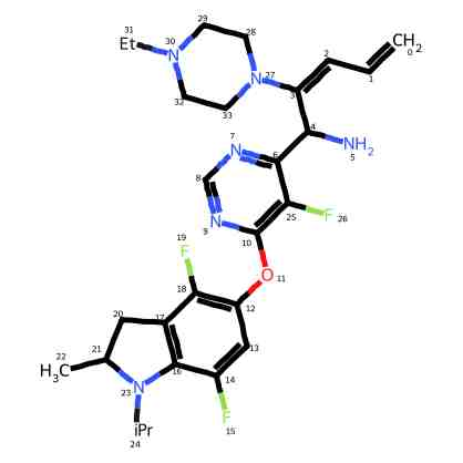 C=C/C=C(\C(N)c1ncnc(Oc2cc(F)c3c(c2F)CC(C)N3C(C)C)c1F)N1CCN(CC)CC1